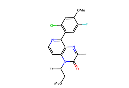 CCC(COC)n1c(=O)c(C)nc2c(-c3cc(F)c(OC)cc3Cl)nccc21